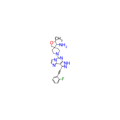 C[C@@H]1OCC2(CCN(c3nc4[nH]nc(C#Cc5ccccc5F)c4c4nccn34)CC2)[C@@H]1N